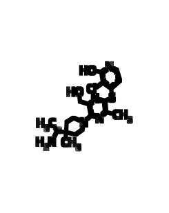 Cc1nc(N2CCC(C)([C@H](C)N)CC2)c(CO)nc1Sc1ccnc(O)c1Cl